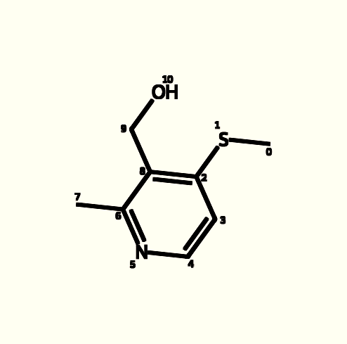 CSc1ccnc(C)c1CO